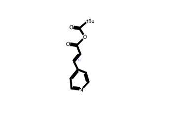 CC(C)(C)C(=O)OC(=O)/C=C/c1ccncc1